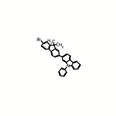 CC1(C)c2cc(Br)ccc2-c2ccc(-c3ccc4c5ccccc5n(-c5ccccc5)c4c3)cc21